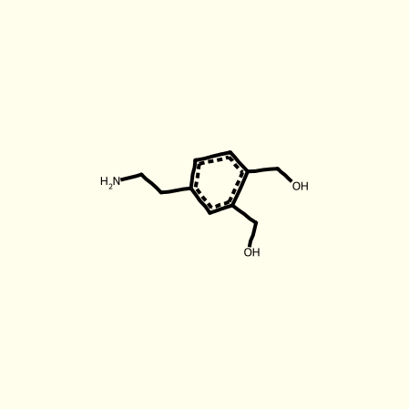 NCCc1ccc(CO)c(CO)c1